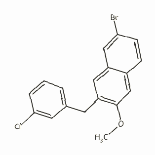 COc1cc2ccc(Br)cc2cc1Cc1cccc(Cl)c1